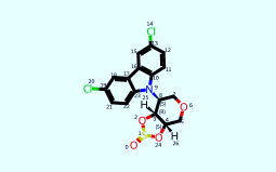 O=S1O[C@H]2[C@H](COC[C@@H]2n2c3ccc(Cl)cc3c3cc(Cl)ccc32)O1